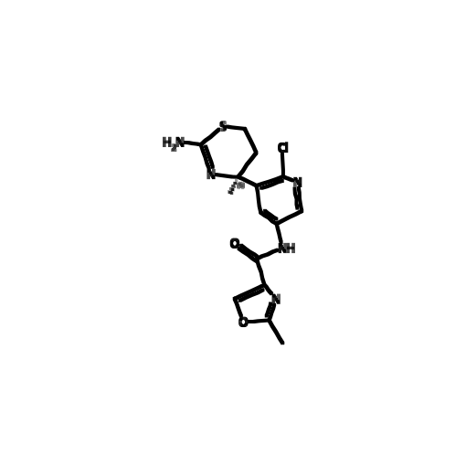 Cc1nc(C(=O)Nc2cnc(Cl)c([C@]3(C)CCSC(N)=N3)c2)co1